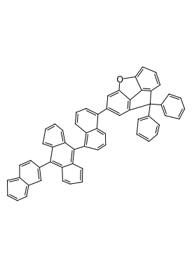 c1ccc(C2(c3ccccc3)c3cccc4oc5cc(-c6cccc7c(-c8c9ccccc9c(-c9ccc%10ccccc%10c9)c9ccccc89)cccc67)cc2c5c34)cc1